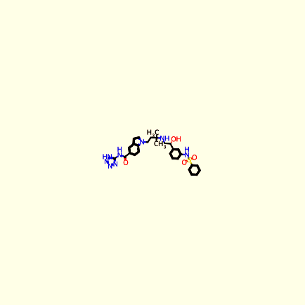 CC(C)(CCn1ccc2cc(C(=O)Nc3nnn[nH]3)ccc21)NC[C@H](O)c1cccc(NS(=O)(=O)c2ccccc2)c1